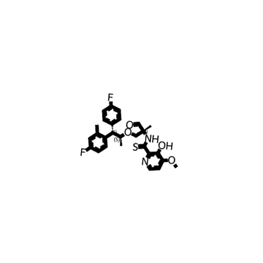 COc1ccnc(C(=S)N[C@@](C)(C=O)CO[C@@H](C)[C@@H](c2ccc(F)cc2)c2ccc(F)cc2C)c1O